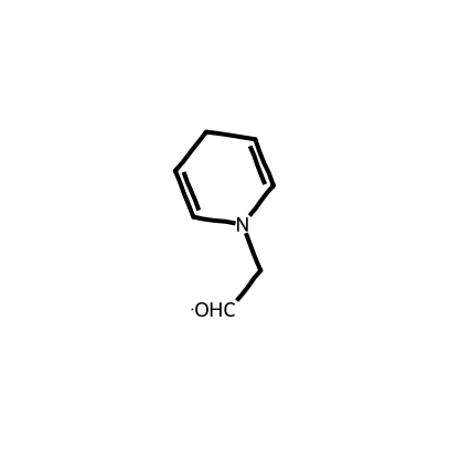 O=[C]CN1C=CCC=C1